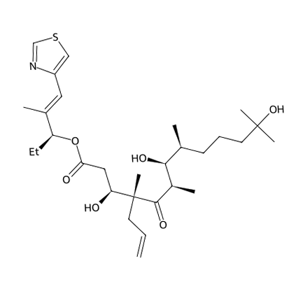 C=CC[C@@](C)(C(=O)[C@H](C)[C@@H](O)[C@@H](C)CCCC(C)(C)O)[C@@H](O)CC(=O)O[C@@H](CC)/C(C)=C/c1cscn1